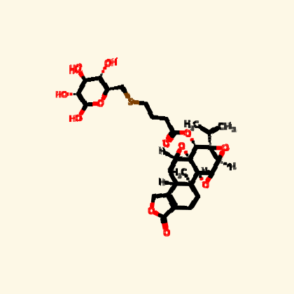 CC(C)[C@]12O[C@H]1[C@@H]1O[C@]13[C@]1(O[C@H]1C[C@H]1C4=C(CC[C@@]13C)C(=O)OC4)[C@@H]2OC(=O)CCCSC[C@H]1OC(O)[C@H](O)[C@@H](O)[C@@H]1O